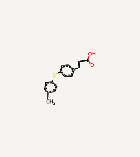 Cc1ccc(Sc2ccc(/C=C/C(=O)O)cc2)cc1